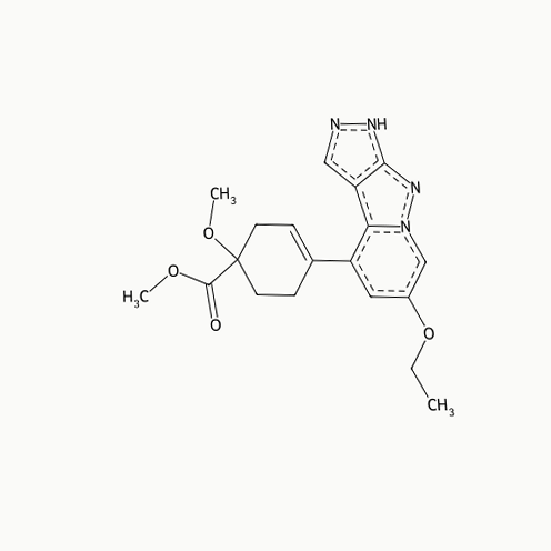 CCOc1cc(C2=CCC(OC)(C(=O)OC)CC2)c2c3cn[nH]c3nn2c1